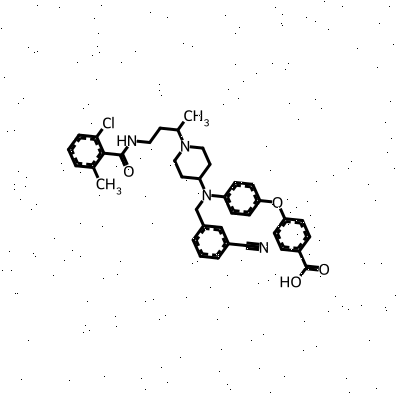 Cc1cccc(Cl)c1C(=O)NCCC(C)N1CCC(N(Cc2cccc(C#N)c2)c2ccc(Oc3ccc(C(=O)O)cc3)cc2)CC1